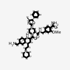 COc1cc(CNC(=O)[C@@H]2CN(C3=N[C@@H](C)[C@H](c4ccccc4)O3)CCN2C(=O)C(CCCCN2CCCCC2)NC2CCC(CN)CC2)ccc1C(N)=O